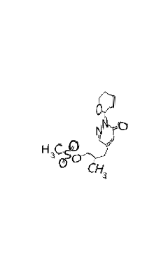 C[C@H](COS(C)(=O)=O)Cc1cnn(C2CCCCO2)c(=O)c1